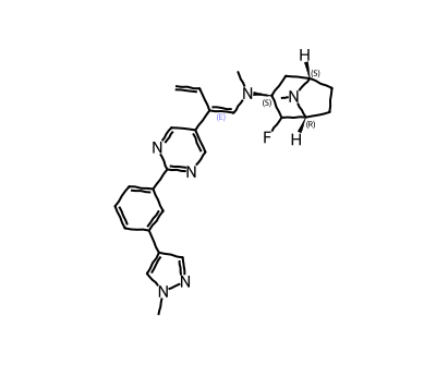 C=C/C(=C\N(C)[C@H]1C[C@@H]2CC[C@H](C1F)N2C)c1cnc(-c2cccc(-c3cnn(C)c3)c2)nc1